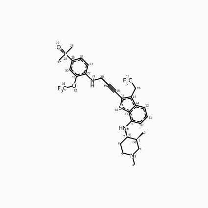 C[C@H]1CN(C)CC[C@H]1Nc1cccc2c(CC(F)(F)F)c(C#CCNc3ccc(P(C)(C)=O)cc3OC(F)(F)F)sc12